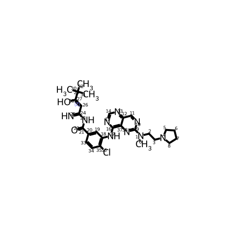 CN(CCN1CCCC1)c1ncc2ncnc(Nc3cc(C(=O)NC(=N)/C=C(\O)C(C)(C)C)ccc3Cl)c2n1